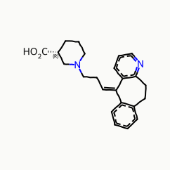 O=C(O)[C@@H]1CCCN(CCC=C2c3ccccc3CCc3ncccc32)C1